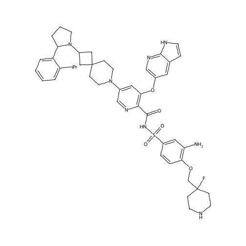 CC(C)c1ccccc1C1CCCN1C1CC2(CCN(c3cnc(C(=O)NS(=O)(=O)c4ccc(OCC5(F)CCNCC5)c(N)c4)c(Oc4cnc5[nH]ccc5c4)c3)CC2)C1